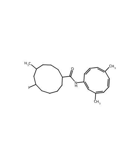 Cc1cccc(C)cc(NC(=O)C2CCCCC(I)CC(C)CCC2)ccc1